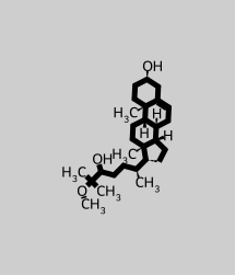 COC(C)(C)C(O)CC[C@@H](C)[C@H]1CC[C@H]2[C@@H]3CC=C4C[C@@H](O)CC[C@]4(C)[C@H]3CC[C@]12C